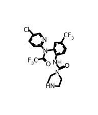 O=C(Nc1ccc(C(F)(F)F)cc1N(C(=O)C(F)(F)F)c1ccc(Cl)cn1)N1CCNCC1